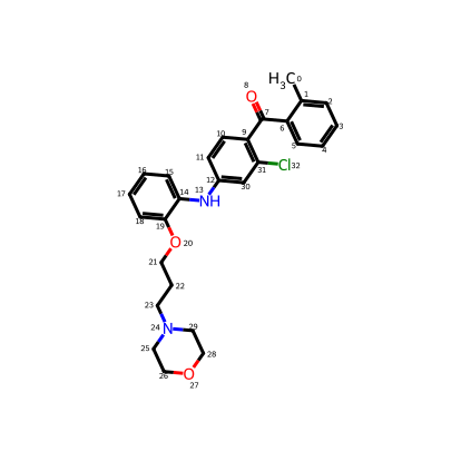 Cc1ccccc1C(=O)c1ccc(Nc2ccccc2OCCCN2CCOCC2)cc1Cl